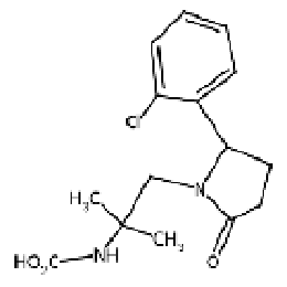 CC(C)(CN1C(=O)CCC1c1ccccc1Cl)NC(=O)O